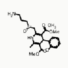 COC(=O)C1=C(C)NC(C[S+]([O-])CCCN)=C(C(=O)OC)C1c1ccccc1Cl.O